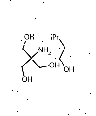 CC(C)CCO.NC(CO)(CO)CO